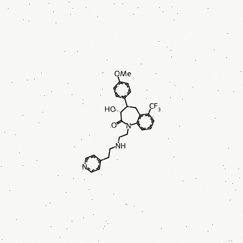 COc1ccc(C2Cc3c(cccc3C(F)(F)F)N(CCNCCc3ccncc3)C(=O)[C@@H]2O)cc1